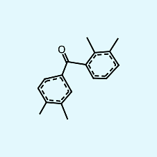 Cc1ccc(C(=O)c2cccc(C)c2C)cc1C